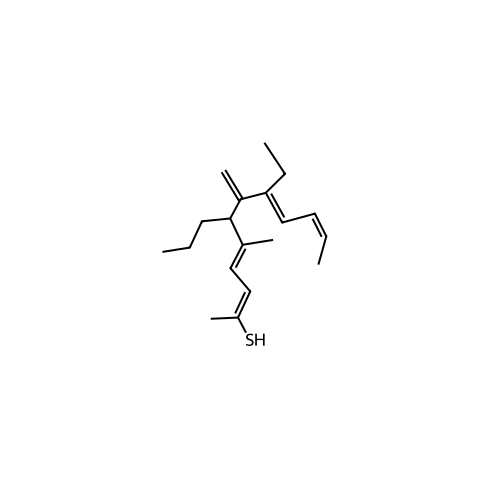 C=C(/C(=C/C=C\C)CC)C(CCC)/C(C)=C/C=C(\C)S